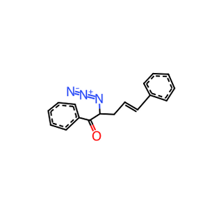 [N-]=[N+]=NC(CC=Cc1ccccc1)C(=O)c1ccccc1